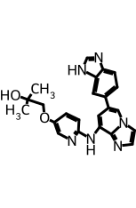 CC(C)(O)COc1ccc(Nc2cc(-c3ccc4nc[nH]c4c3)cn3ccnc23)nc1